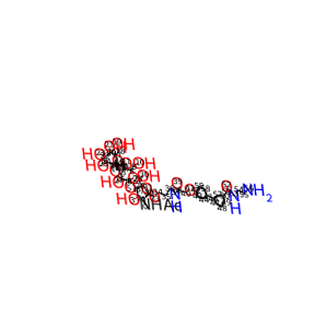 CC(=O)NC1C(O)[C@H](O[C@@H]2OC3C(O)O[C@@H]3C(O[C@H]3OC(CO)[C@H](O)C(O)C3O)C2O)C(CO)O[C@H]1OCCCNC(=O)COc1ccc(-c2cccc(C(=O)NCCN)c2)cc1